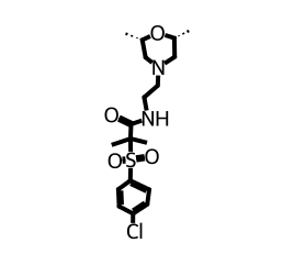 C[C@@H]1CN(CCNC(=O)C(C)(C)S(=O)(=O)c2ccc(Cl)cc2)C[C@H](C)O1